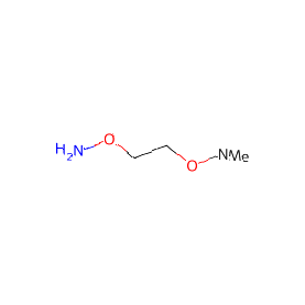 CNOCCON